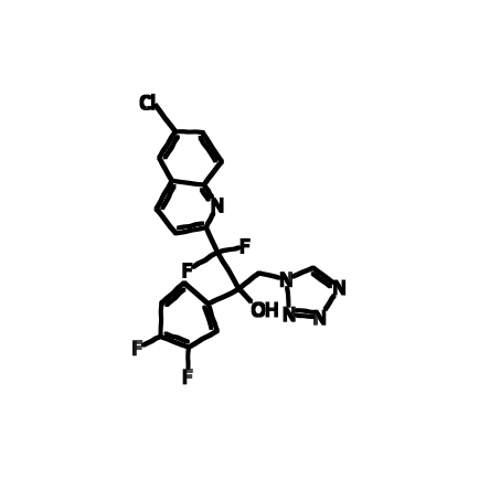 OC(Cn1cnnn1)(c1ccc(F)c(F)c1)C(F)(F)c1ccc2cc(Cl)ccc2n1